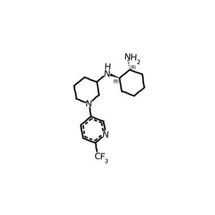 N[C@@H]1CCCC[C@H]1NC1CCCN(c2ccc(C(F)(F)F)nc2)C1